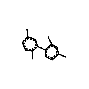 Cc1ccc(-c2cc(C)ccc2C)c(C)c1